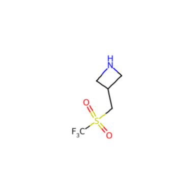 O=S(=O)(CC1CNC1)C(F)(F)F